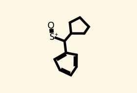 O=[S+]C(c1ccccc1)C1CCCC1